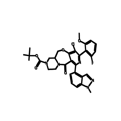 COc1cccc(F)c1-c1nc(-c2cccc3c2cnn3C)c2c(c1Cl)OCC1CN(C(=O)OC(C)(C)C)CCN1C2=O